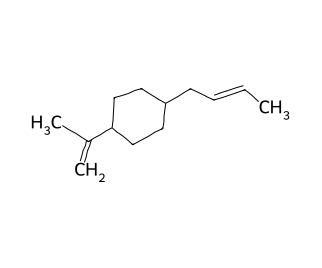 C=C(C)C1CCC(CC=CC)CC1